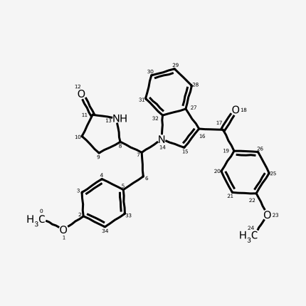 COc1ccc(CC(C2CCC(=O)N2)n2cc(C(=O)c3ccc(OC)cc3)c3ccccc32)cc1